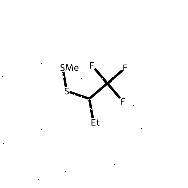 CCC(SSC)C(F)(F)F